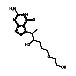 CC(C(O)CCCOCCO)n1cnc2nc(N)[nH]c(=O)c21